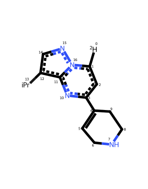 [2H]c1cc(C2=CCNCC2)nc2c(C(C)C)cnn12